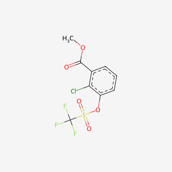 COC(=O)c1cccc(OS(=O)(=O)C(F)(F)F)c1Cl